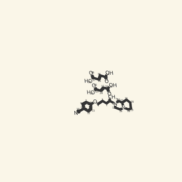 CC(CCCOc1ccc(C#N)cc1)N1CCN2CCCCC2C1.O=C(O)C=CC(=O)O.O=C(O)C=CC(=O)O